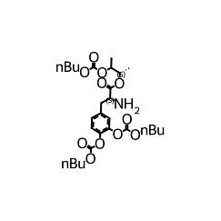 CCCCOC(=O)Oc1ccc(C[C@H](N)C(=O)O[C@@H](C)C(C)OC(=O)OCCCC)cc1OC(=O)OCCCC